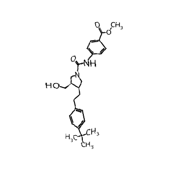 COC(=O)c1ccc(NC(=O)N2C[C@@H](CCc3ccc(C(C)(C)C)cc3)[C@@H](CO)C2)cc1